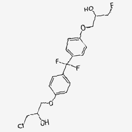 OC(CF)COc1ccc(C(F)(F)c2ccc(OCC(O)CCl)cc2)cc1